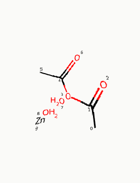 CC(=O)OC(C)=O.O.O.[Zn]